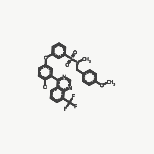 COc1ccc(CN(C)S(=O)(=O)c2cccc(Oc3ccc(Cl)c(-c4ncnc5c(C(F)(F)F)cccc45)c3)c2)cc1